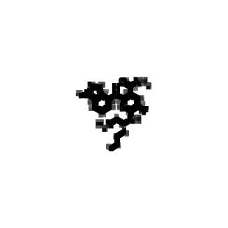 CCCC[C@H](CN)Nc1nc(Nc2cccc3c2cnn3C)c(C(N)=O)cc1F